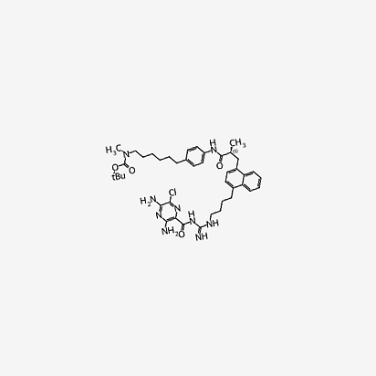 C[C@@H](Cc1ccc(CCCCNC(=N)NC(=O)c2nc(Cl)c(N)nc2N)c2ccccc12)C(=O)Nc1ccc(CCCCCCN(C)C(=O)OC(C)(C)C)cc1